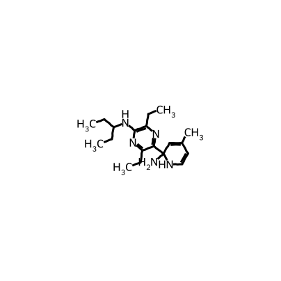 CCc1nc(C2(N)C=C(C)C=CN2)c(CC)nc1NC(CC)CC